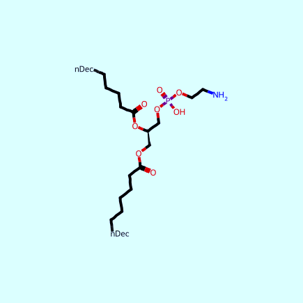 CCCCCCCCCCCCCCCC(=O)OC[C@H](COP(=O)(O)OCCN)OC(=O)CCCCCCCCCCCCCC